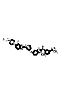 CC(C)c1cccc(Nc2nc3cc(Oc4ccnc(-c5nc6ccc(N7CCN(C)CC7)c(F)c6[nH]5)c4)ccc3n2C)c1